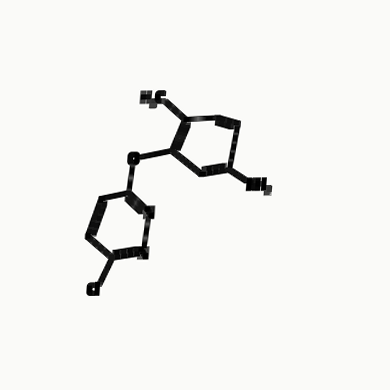 Cc1ccc(N)cc1Oc1ccc(Cl)nn1